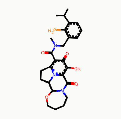 CC(C)c1cccc(CN(C)C(=O)c2c3n4c(c(O)c2=O)C(=O)N2CCCCOC2C4CC3)c1P